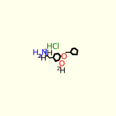 Cl.[2H]COc1cc(CC([2H])([2H])N)ccc1OCc1ccccc1